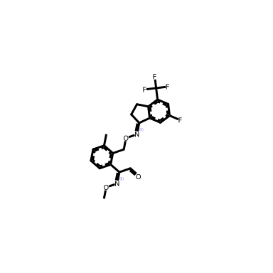 CO/N=C(/C=O)c1cccc(C)c1CO/N=C1\CCc2c1cc(F)cc2C(F)(F)F